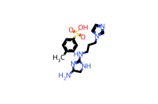 Cc1ccc(S(=O)(=O)O)cc1.NC1CNC(NCCCn2ccnc2)=N1